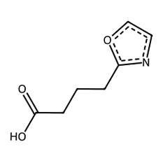 O=C(O)CCCc1ncco1